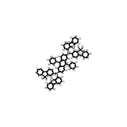 CC1(C)c2ccccc2-c2ccc(N(c3ccc4c(-c5ccccc5)c5cc(N(c6ccc7c(c6)C(C)(C)c6ccccc6-7)c6cccc7c6oc6ccccc67)ccc5c(-c5ccccc5)c4c3)c3cccc4c3oc3ccccc34)cc21